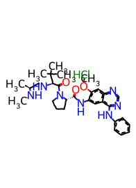 CN[C@@H](C)CN[C@H](C(=O)N1CCC[C@H]1C(=O)Nc1cc2c(Nc3ccccc3)ncnc2cc1OC)C(C)(C)C.Cl